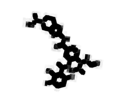 CB(O)N1CCc2nc(NC(=O)c3cc(OC(C)c4c(Cl)ccc(F)c4Cl)c(N(BC=O)B(C)O)nn3)sc2C1